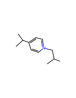 CC(C)C[n+]1ccc(C(C)C)cc1